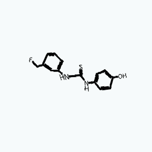 Oc1ccc(NC(=S)Nc2cccc(CF)c2)cc1